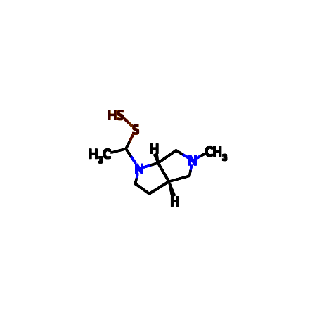 CC(SS)N1CC[C@H]2CN(C)C[C@H]21